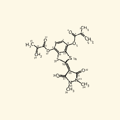 C=C(C)C(=O)Oc1ccc(OC(=O)C(=C)C)c2c1SC(=C1C(=O)N(C)N(C)C1=O)S2